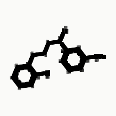 CCN(CCCc1ccccc1Cl)c1cccc(OC)c1